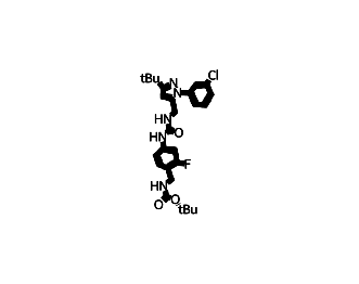 CC(C)(C)OC(=O)NCc1ccc(NC(=O)NCc2cc(C(C)(C)C)nn2-c2cccc(Cl)c2)cc1F